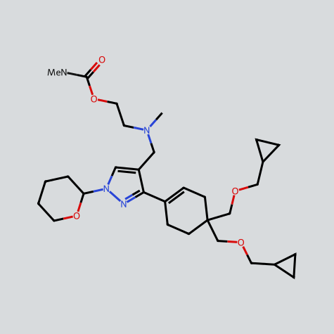 CNC(=O)OCCN(C)Cc1cn(C2CCCCO2)nc1C1=CCC(COCC2CC2)(COCC2CC2)CC1